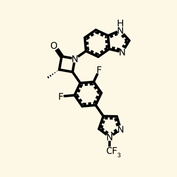 C[C@@H]1C(=O)N(c2ccc3[nH]cnc3c2)C1c1c(F)cc(-c2cnn(C(F)(F)F)c2)cc1F